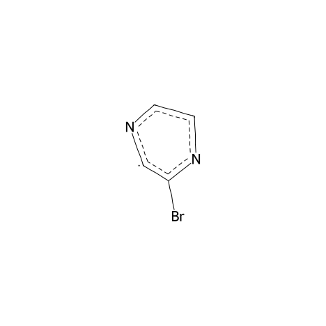 Brc1[c]nccn1